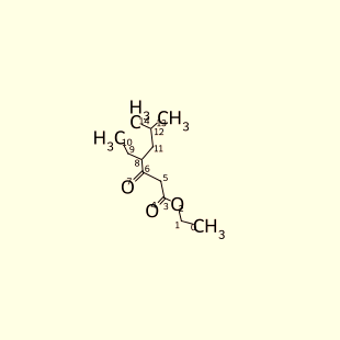 CCOC(=O)CC(=O)C(CC)CC(C)C